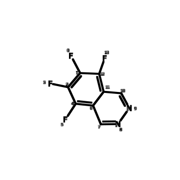 Fc1c(F)c(F)c2cnncc2c1F